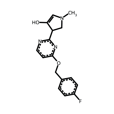 CN1C=C(O)C(c2nccc(OCc3ccc(F)cc3)n2)C1